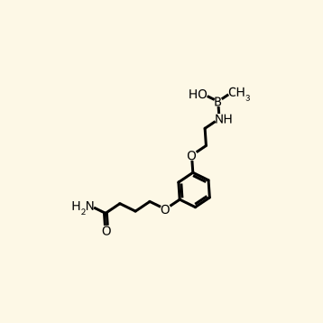 CB(O)NCCOc1cccc(OCCCC(N)=O)c1